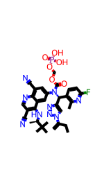 C=C(CC)n1cc([C@H](c2ccc(F)nc2C)N(C(=O)OCOP(=O)(O)O)c2cc(C#N)c3ncc(C#N)c(N[C@H](C)C(C)(C)C)c3c2)nn1